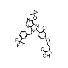 C[C@H](CCOc1ccc(-c2nc3c(OC4(C)CC4)ncnc3n2Cc2cccc(C(F)(F)F)c2)c(Cl)c1)C(=O)O